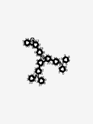 c1ccc(N(c2ccccc2)c2ccc(-c3ccc4c(c3)c3cc(-c5ccc(N(c6ccccc6)c6ccccc6)cc5)ccc3n4-c3ccc(-c4ccc5oc6ccccc6c5c4)cc3)cc2)cc1